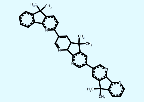 CC1(C)c2ccccc2-c2nc(C3=CC4C(N=C3)c3ncc(-c5cnc6c(c5)C(C)(C)c5cccnc5-6)cc3C4(C)C)ccc21